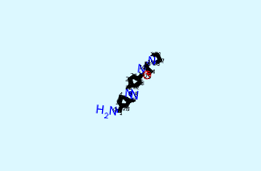 NCc1ccc2c(cnn2Cc2ccc(-c3nc(CN4CCCC4)co3)cc2)c1